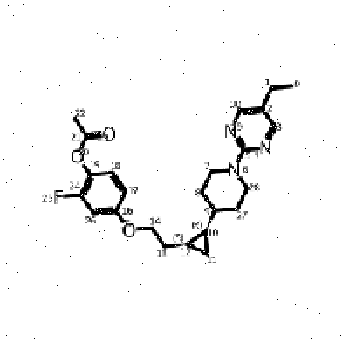 CCc1cnc(N2CCC([C@H]3C[C@H]3CCOc3ccc(OC(C)=O)c(F)c3)CC2)nc1